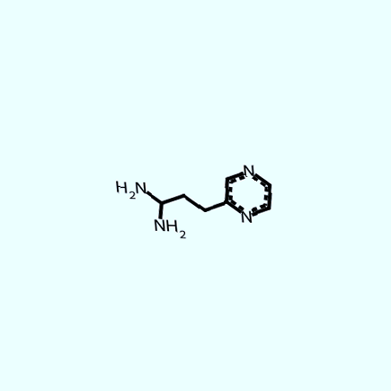 NC(N)CCc1cnccn1